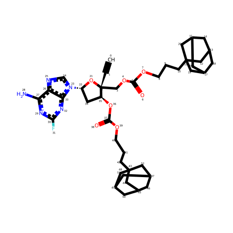 C#C[C@]1(COC(=O)OCCCC23CC4CC(CC(C4)C2)C3)O[C@@H](n2cnc3c(N)nc(F)nc32)C[C@@H]1OC(=O)OCCCC12CC3CC(CC(C3)C1)C2